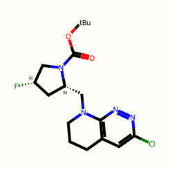 CC(C)(C)OC(=O)N1C[C@@H](F)C[C@H]1CN1CCCc2cc(Cl)nnc21